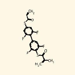 C=CC(=O)Sc1cc(F)c(-c2cc(F)c(SC(=O)C(=C)C)c(F)c2)c(F)c1